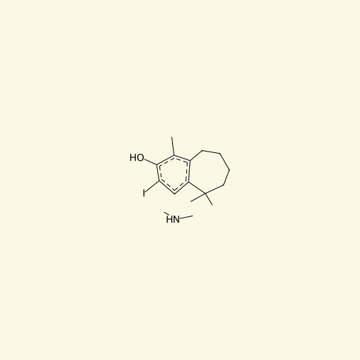 CNC.Cc1c(O)c(I)cc2c1CCCCC2(C)C